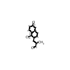 C/C(C=O)=C\c1ccc2cc(Cl)ccc2c1Cl